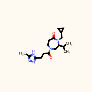 Cc1nnc(CCC(=O)N2CCC(=O)N(CC3CC3)C(C(C)C)C2)[nH]1